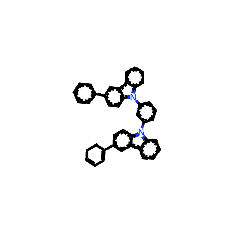 C1=CCCC(c2ccc3c(c2)c2ccccc2n3-c2cccc(-n3c4ccccc4c4cc(-c5ccccc5)ccc43)c2)=C1